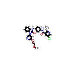 COCCOc1cncc(-n2c(=O)n(C[C@H]3CC[C@H](NC(=O)c4cc(Cl)cnc4C)CC3)c3ccccc32)c1